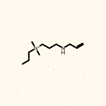 C=CCNCCC[N+](C)(C)CCC